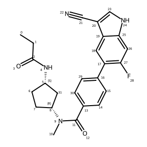 CCC(=O)N[C@H]1CC[C@@H](N(C)C(=O)c2ccc(-c3cc4c(C#N)c[nH]c4cc3F)cc2)C1